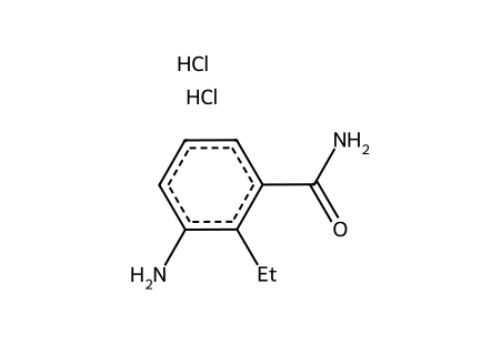 CCc1c(N)cccc1C(N)=O.Cl.Cl